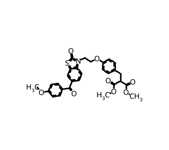 COC(=O)C(Cc1ccc(OCCn2c(=O)sc3cc(C(=O)c4ccc(OC)cc4)ccc32)cc1)C(=O)OC